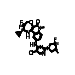 C[C@@H]1C[C@H](F)CN(c2ncc(Cl)c(Nc3ccc4c(c3)c3c(c(=O)n4C)OCC(F)(F)[C@H](C4CC4)N3)n2)C1